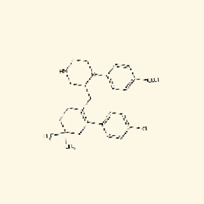 CC1(C)CCC(CC2CNCCN2c2ccc(C(=O)O)cc2)=C(c2ccc(Cl)cc2)C1